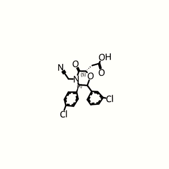 N#CCN1C(=O)[C@H](CC(=O)O)OC(c2cccc(Cl)c2)[C@H]1c1ccc(Cl)cc1